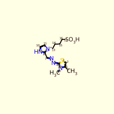 Cc1csc(=NN=Cc2[nH]cc[n+]2CCCCS(=O)(=O)O)n1C